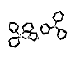 c1ccc(B(c2ccccc2)c2ccccc2)cc1.c1ccc([Si](Cn2ccnc2)(c2ccccc2)c2ccccc2)cc1